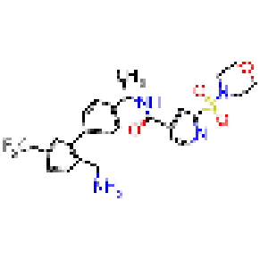 C[C@@H](NC(=O)c1ccnc(S(=O)(=O)N2CCOCC2)c1)c1ccc(-c2cc(C(F)(F)F)ccc2CN)cc1